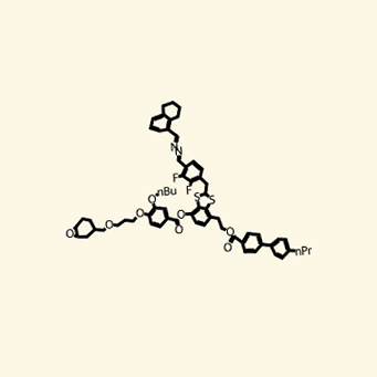 CCCCOc1cc(C(=O)Oc2ccc(CCOC(=O)c3ccc(-c4ccc(CCC)cc4)cc3)c3c2SC(Cc2ccc(/C=N/N=C/c4cccc5c4CCCC5)c(F)c2F)S3)ccc1OCCCOCC1CCC2OC2C1